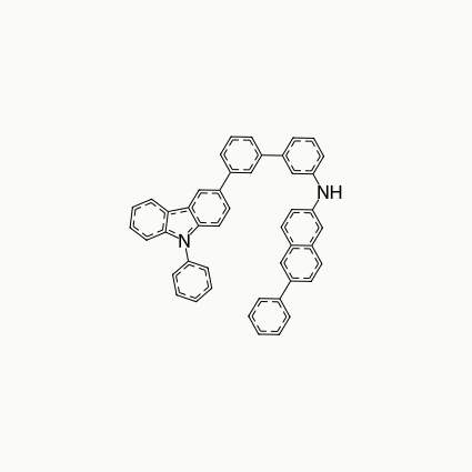 c1ccc(-c2ccc3cc(Nc4cccc(-c5cccc(-c6ccc7c(c6)c6ccccc6n7-c6ccccc6)c5)c4)ccc3c2)cc1